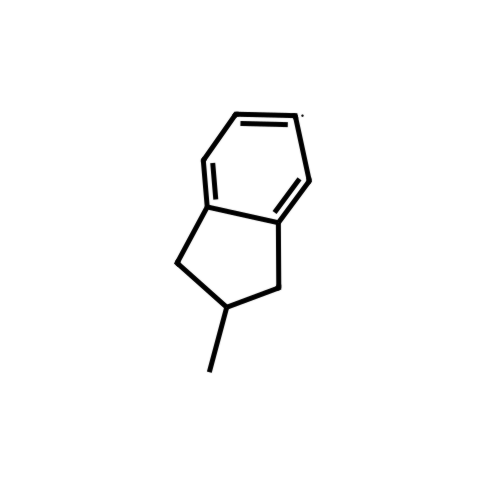 CC1Cc2c[c]ccc2C1